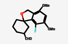 COc1cc(OC)c2c(c1F)C1(CCCC(C=O)C1)OC2